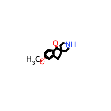 COc1ccc2c(c1)CCC1(CCNCC1)C2=O